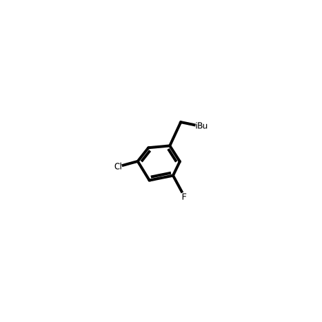 CCC(C)Cc1cc(F)cc(Cl)c1